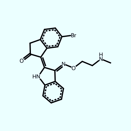 CNCCO/N=C1/C(=C2/C(=O)Cc3ccc(Br)cc32)Nc2ccccc21